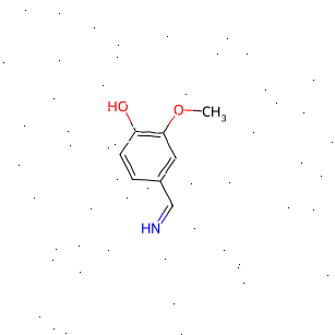 COc1cc(C=N)ccc1O